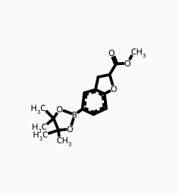 COC(=O)C1Cc2cc(B3OC(C)(C)C(C)(C)O3)ccc2O1